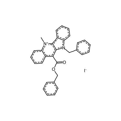 C[n+]1c2ccccc2c(C(=O)OCc2ccccc2)c2c1c1ccccc1n2Cc1ccccc1.[I-]